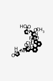 COc1nc(-c2cccc(-c3cccc4c3CC[C@@H]4Oc3nc(OC)c(CN4CCC[C@H]4C(=O)O)cc3C(F)(F)F)c2Cl)ccc1CNC[C@@H]1CCC(=O)N1